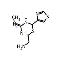 C/N=C(/N)NC(SCCN)c1cscn1